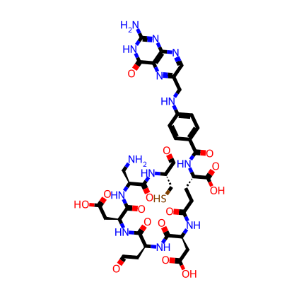 NC[C@H](NC(=O)[C@H](CC(=O)O)NC(=O)[C@H](CC=O)NC(=O)[C@H](CC(=O)O)NC(=O)CC[C@H](NC(=O)c1ccc(NCc2cnc3nc(N)[nH]c(=O)c3n2)cc1)C(=O)O)C(=O)N[C@H](C=O)CS